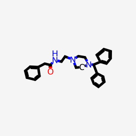 O=C(Cc1ccccc1)NCCN1CCN(C(c2ccccc2)c2ccccc2)CC1